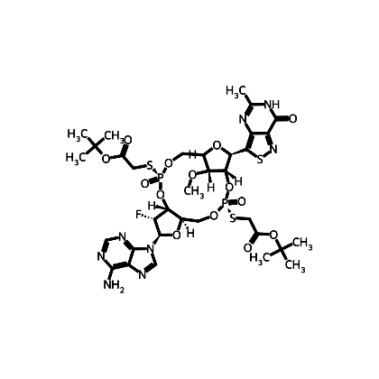 CO[C@H]1[C@H]2O[P@](=O)(SCC(=O)OC(C)(C)C)OC[C@H]3O[C@@H](n4cnc5c(N)ncnc54)[C@H](F)[C@@H]3O[P@@](=O)(SCC(=O)OC(C)(C)C)OC[C@H]1O[C@H]2c1snc2c(=O)[nH]c(C)nc12